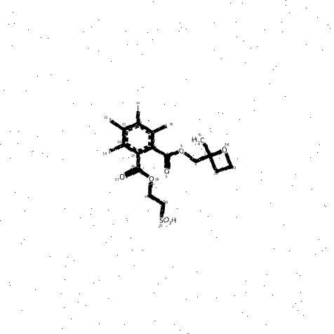 CC1(COC(=O)c2c(I)c(I)c(I)c(I)c2C(=O)OCCS(=O)(=O)O)CCO1